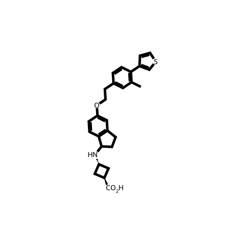 Cc1cc(CCOc2ccc3c(c2)CCC3N[C@H]2C[C@H](C(=O)O)C2)ccc1-c1ccsc1